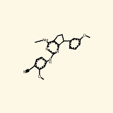 CNc1nc(Nc2ccc(C#N)c(OC)c2)nc2c1CCC2c1cccc(OC)c1